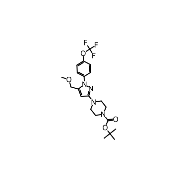 COCc1cc(N2CCN(C(=O)OC(C)(C)C)CC2)nn1-c1ccc(OC(F)(F)F)cc1